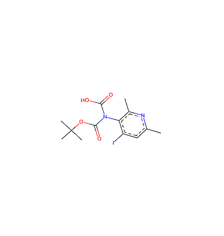 Cc1cc(I)c(N(C(=O)O)C(=O)OC(C)(C)C)c(C)n1